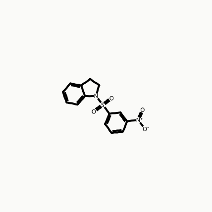 O=[N+]([O-])c1cccc(S(=O)(=O)N2CCc3ccccc32)c1